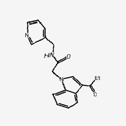 CCC(=O)c1cn(CC(=O)NCc2cccnc2)c2ccccc12